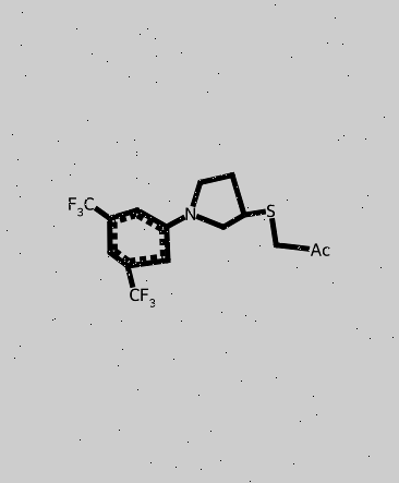 CC(=O)CSC1CCN(c2cc(C(F)(F)F)cc(C(F)(F)F)c2)C1